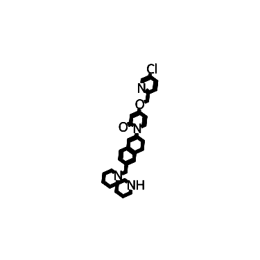 O=c1cc(OCc2ccc(Cl)cn2)ccn1C1=Cc2ccc(CN3CCCCC34CCCNC4)cc2CC1